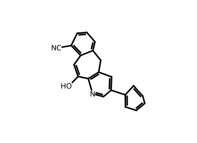 N#Cc1cccc2c1C=C(O)c1ncc(-c3ccccc3)cc1C2